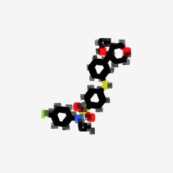 COC1(c2cccc(Sc3ccc(S(=O)(=O)N(C)c4ccc(F)cc4)cc3)c2)CCOCC1